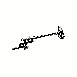 CCCCc1ccc(-c2cc3ccc(OCCCCCCCCCCCOC(=O)C4(N)CC4(C)CC(C)(C)C)nc3oc2=O)c(C(F)(F)F)c1